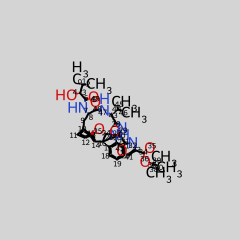 CC(C)[C@H](O)C(=O)N[C@H]1Cc2ccc3c(c2)[C@@]2(c4ccccc4NC2O3)c2oc(nc2-c2nc(C(=O)OC(C)(C)C)co2)[C@H](C(C)C)NC1=O